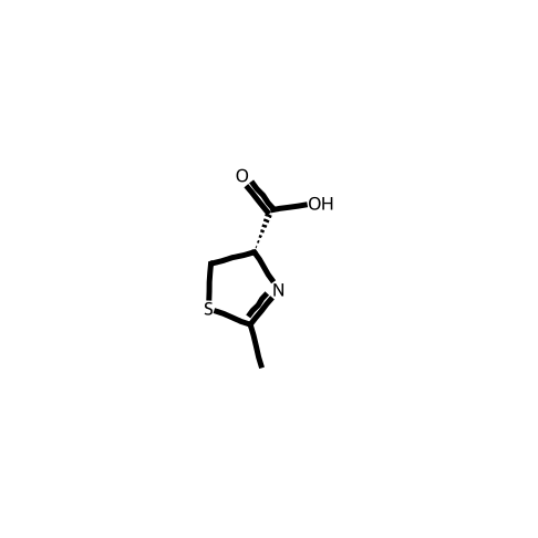 CC1=N[C@@H](C(=O)O)CS1